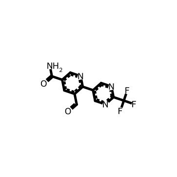 NC(=O)c1cnc(-c2cnc(C(F)(F)F)nc2)c(C=O)c1